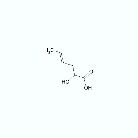 CC=CCC(O)C(=O)O